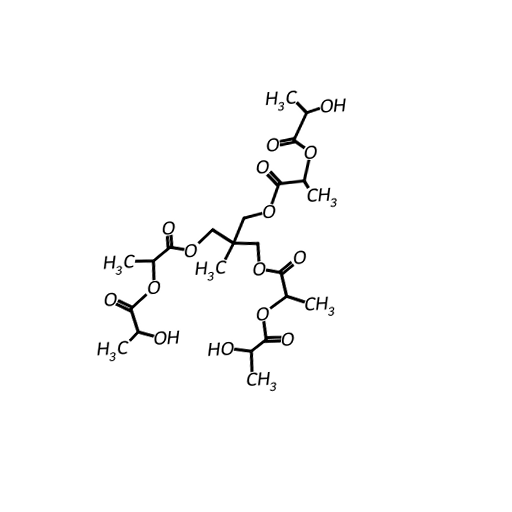 CC(O)C(=O)OC(C)C(=O)OCC(C)(COC(=O)C(C)OC(=O)C(C)O)COC(=O)C(C)OC(=O)C(C)O